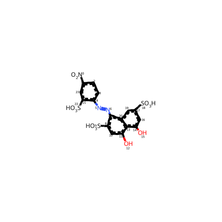 O=[N+]([O-])c1ccc(N=Nc2c(S(=O)(=O)O)cc(O)c3c(O)cc(S(=O)(=O)O)cc23)c(S(=O)(=O)O)c1